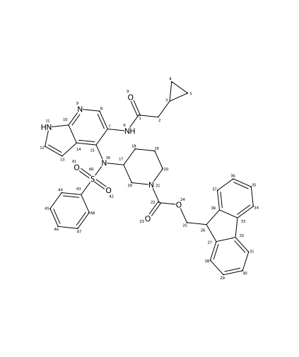 O=C(CC1CC1)Nc1cnc2[nH]ccc2c1N(C1CCCN(C(=O)OCC2c3ccccc3-c3ccccc32)C1)S(=O)(=O)c1ccccc1